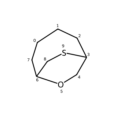 C1CCC2COC(C1)CS2